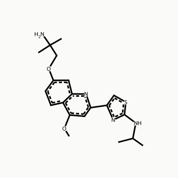 COc1cc(-c2csc(NC(C)C)n2)nc2cc(OCC(C)(C)N)ccc12